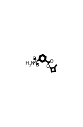 CC1CCC1OC(=O)c1cccc(S(N)(=O)=O)c1